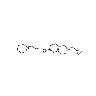 c1cc2c(cc1OCCCN1CCCCC1)CCN(CC1CC1)C2